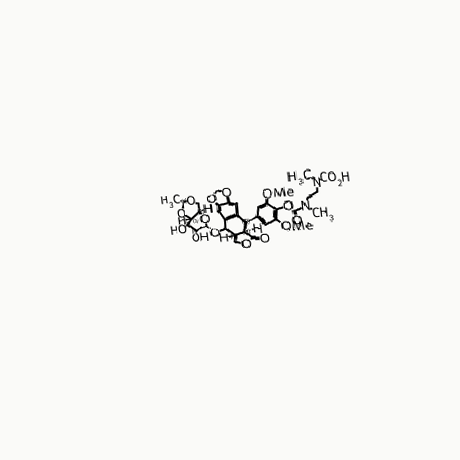 COc1cc([C@@H]2c3cc4c(cc3C(OC3O[C@@H]5CO[C@@H](C)O[C@H]5[C@H](O)[C@H]3O)[C@H]3COC(=O)[C@H]23)OCO4)cc(OC)c1OC(=O)N(C)CCN(C)C(=O)O